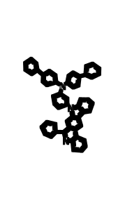 c1ccc(-c2ccc(N(c3ccc(-c4ccccc4)cc3)c3cccc(-n4c5ccccc5c5cc6c(cc54)c(-c4ccccc4)nc4ccccc46)c3)cc2)cc1